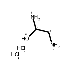 Cl.Cl.NCC(N)O